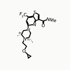 CNC(=O)c1csc2c(C(F)(F)F)cc(N3C[C@@H](C)N(CCOC4CC4)[C@@H](C)C3)nc12